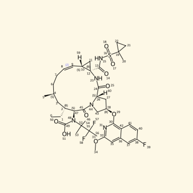 CC[C@@H]1C[C@@H](C)CC/C=C\[C@@H]2C[C@@]2(C(=O)NS(=O)(=O)C2(C)CC2)NC(=O)[C@@H]2C[C@@H](Oc3nc(OC)cc4cc(F)ccc34)CN2C(=O)[C@H]1N(C(=O)O)C(C)(C)C(C)(F)F